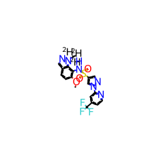 [2H]C([2H])([2H])n1ncc2ccc(OC)c(NS(=O)(=O)c3cnn(-c4cc(C(F)(F)F)ccn4)c3)c21